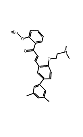 CCCCOc1ccccc1C(=O)C=Cc1cc(-c2cc(C)cc(C)c2)ccc1OCCN(C)C